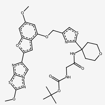 COc1cc(OCc2csc(C3(NC(=O)CNC(=O)OC(C)(C)C)CCOCC3)n2)c2cc(-c3cn4nc(OC)sc4n3)oc2c1